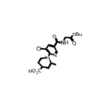 CCCCC(=O)CNC(=O)c1cnc(N2CCC(C(=O)O)CC2C)c(Cl)c1